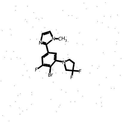 Cn1ccnc1-c1cc(F)c(Br)c(N2CCC(F)(F)C2)c1